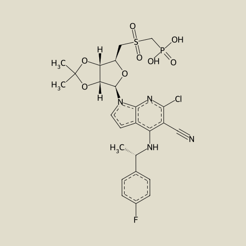 C[C@H](Nc1c(C#N)c(Cl)nc2c1ccn2[C@@H]1O[C@H](CS(=O)(=O)CP(=O)(O)O)[C@H]2OC(C)(C)O[C@H]21)c1ccc(F)cc1